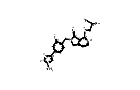 Cn1cc(-c2ccc(CN3Cc4ccnc(OCC(F)F)c4C3=O)c(F)c2)nn1